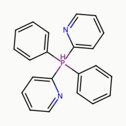 c1ccc([PH](c2ccccc2)(c2ccccn2)c2ccccn2)cc1